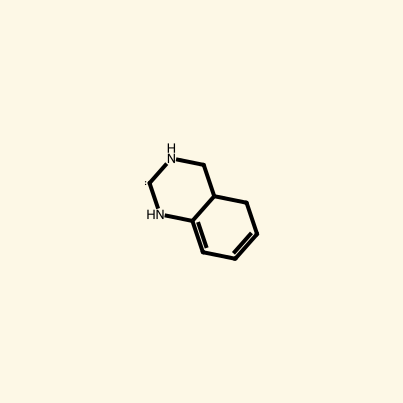 [C]1NCC2CC=CC=C2N1